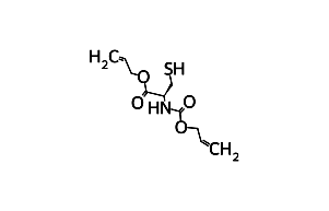 C=CCOC(=O)N[C@H](CS)C(=O)OCC=C